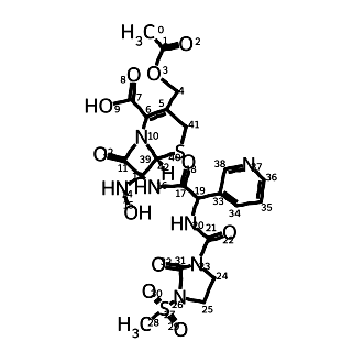 CC(=O)OCC1=C(C(=O)O)N2C(=O)[C@@](NO)(NC(=O)C(NC(=O)N3CCN(S(C)(=O)=O)C3=O)c3cccnc3)[C@H]2SC1